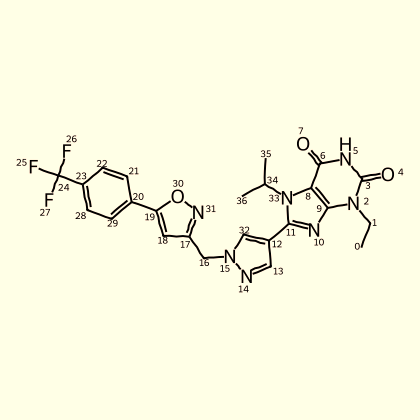 CCn1c(=O)[nH]c(=O)c2c1nc(-c1cnn(Cc3cc(-c4ccc(C(F)(F)F)cc4)on3)c1)n2C(C)C